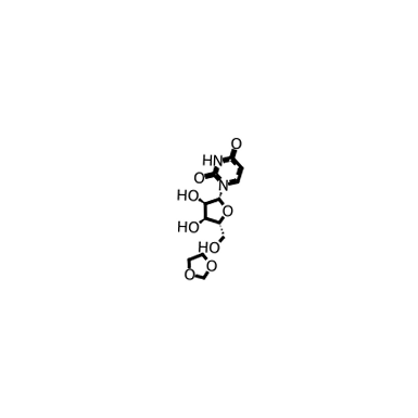 C1COCO1.O=c1ccn([C@@H]2O[C@H](CO)[C@@H](O)[C@H]2O)c(=O)[nH]1